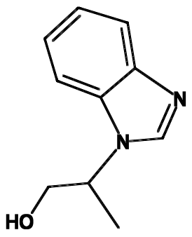 CC(CO)n1cnc2ccccc21